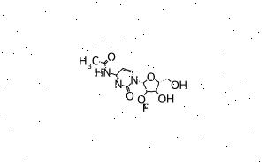 CC(=O)Nc1ccn([C@@H]2O[C@H](CO)C(O)C2OF)c(=O)n1